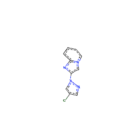 Clc1cnn(-c2cn3ccccc3n2)c1